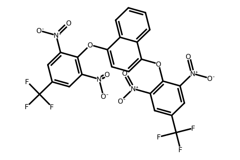 O=[N+]([O-])c1cc(C(F)(F)F)cc([N+](=O)[O-])c1Oc1ccc(Oc2c([N+](=O)[O-])cc(C(F)(F)F)cc2[N+](=O)[O-])c2ccccc12